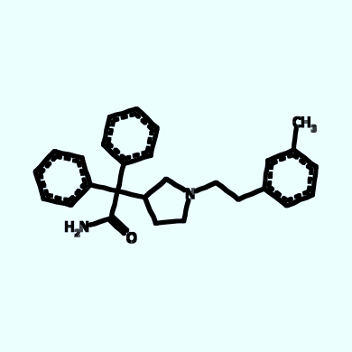 Cc1cccc(CCN2CCC(C(C(N)=O)(c3ccccc3)c3ccccc3)C2)c1